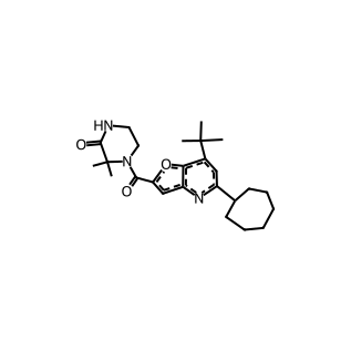 CC(C)(C)c1cc(C2CCCCCC2)nc2cc(C(=O)N3CCNC(=O)C3(C)C)oc12